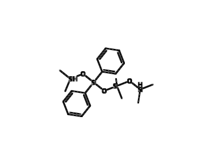 C[SiH](C)O[Si](C)(C)O[Si](O[SiH](C)C)(c1ccccc1)c1ccccc1